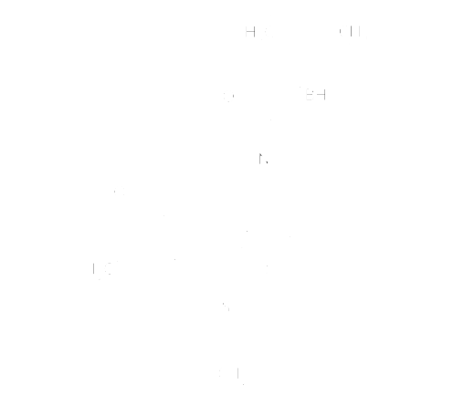 C=CSC1=C(C=C)C(=O)C=C2N(C(=O)BC(C)C)CC3CC213